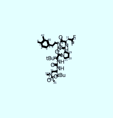 Cc1ccc(CCNC(=O)[C@H](CC(F)F)NC(=O)[C@@H]2CCCN2C(=O)[C@@H](NC(=O)N[C@H](CN(C)S(C)(=O)=O)C(C)(C)C)C(C)(C)C)cc1C